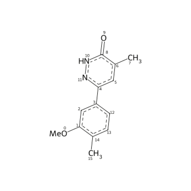 COc1cc(-c2cc(C)c(=O)[nH]n2)ccc1C